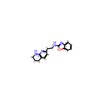 c1ccc2oc(NCCc3ccc4c(n3)NCCC4)nc2c1